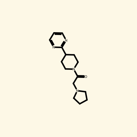 O=C(CN1CCCC1)N1CCC(c2ncccn2)CC1